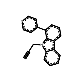 C#CCn1c2ccccc2c2cccc(-c3ccncc3)c21